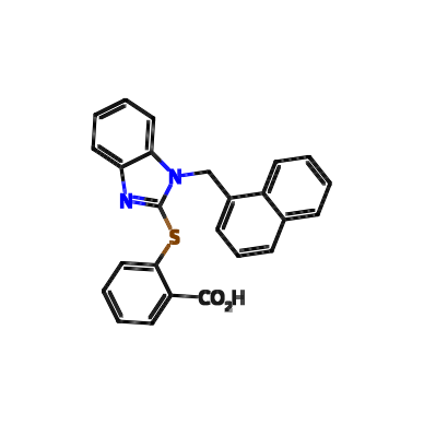 O=C(O)c1ccccc1Sc1nc2ccccc2n1Cc1cccc2ccccc12